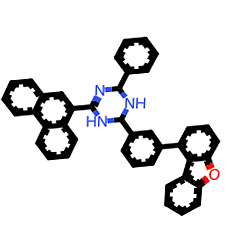 c1ccc(C2N=C(c3cc4ccccc4c4ccccc34)NC(c3cccc(-c4cccc5oc6ccccc6c45)c3)N2)cc1